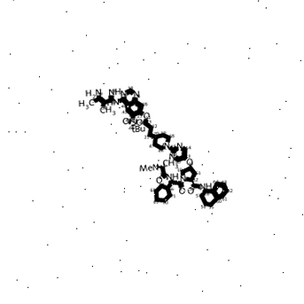 CN[C@@H](C)C(=O)NC(C(=O)N1C[C@@H](Oc2cnc(N3CCC(CCCOc4cc5ncnc(NC(=N)/C(C)=C(/C)N)c5cc4S(=O)(=O)C(C)(C)C)CC3)nc2)C[C@H]1C(=O)N[C@@H]1CCCc2ccccc21)C1CCCCC1